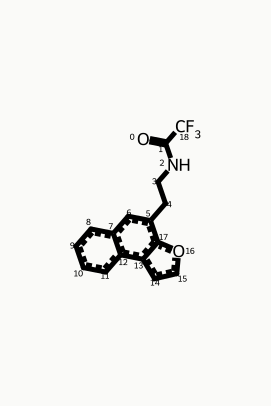 O=C(NCCc1cc2ccccc2c2ccoc12)C(F)(F)F